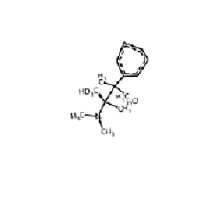 CN(C)[C@](C)(C(=O)O)C(C)(C)c1ccccc1.Cl